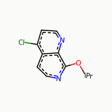 CC(C)Oc1nccc2c(Cl)ccnc12